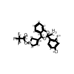 CC1(c2ccc(Cl)cc2F)Oc2ccccc2C(C2=CCN(OC(=O)C(F)(F)F)C2)O1